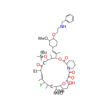 CCC1/C=C(\C)C(F)C(C)CC(OC)C2OC(O)(C(=O)C(=O)N3CCCCC3C(=O)OC(C(C)=CC3CCC(OCCNCc4ccccc4)C(OC)C3)C(C)C(O[Si](C)(C)C(C)(C)C)CC1=O)C(C)CC2OC